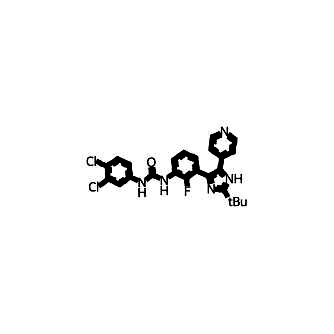 CC(C)(C)c1nc(-c2cccc(NC(=O)Nc3ccc(Cl)c(Cl)c3)c2F)c(-c2ccncc2)[nH]1